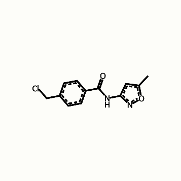 Cc1cc(NC(=O)c2ccc(CCl)cc2)no1